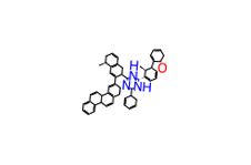 C[C@@H]1C([C@H]2NC(C3CC4=C(C=C3C3=CC5=C(C=CC6c7ccccc7C=CC56)CC3)[C@@H](C)CC=C4)=NC(C3C=CC=CC3)N2)=CC=C2OC3CC=CC=C3C21